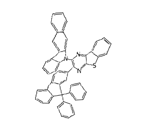 c1ccc(C2(c3ccccc3)c3ccccc3-c3ccc(-c4nc5sc6ccccc6c5nc4-n4c5ccccc5c5cc6ccccc6cc54)cc32)cc1